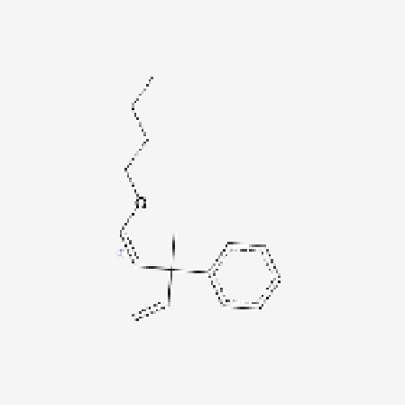 C=CC(C)(/C=C\OCCCC)c1ccccc1